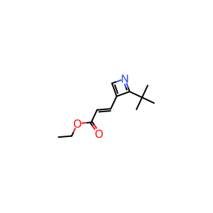 CCOC(=O)/C=C/C1=CN=C1C(C)(C)C